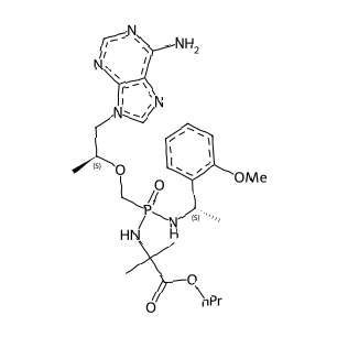 CCCOC(=O)C(C)(C)NP(=O)(CO[C@@H](C)Cn1cnc2c(N)ncnc21)N[C@@H](C)c1ccccc1OC